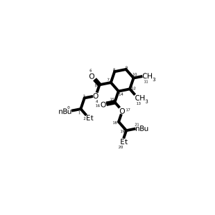 CCCCC(CC)COC(=O)C1CCC(C)C(C)C1C(=O)OCC(CC)CCCC